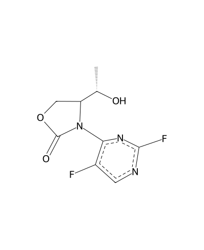 C[C@H](O)C1COC(=O)N1c1nc(F)ncc1F